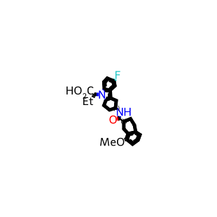 CCC(C(=O)O)n1c2c(c3cc(F)ccc31)C[C@@H](NC(=O)[C@H]1CCc3cccc(OC)c3C1)CC2